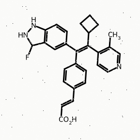 Cc1cnccc1/C(=C(\c1ccc(/C=C/C(=O)O)cc1)c1ccc2c(c1)C(F)NN2)C1CCC1